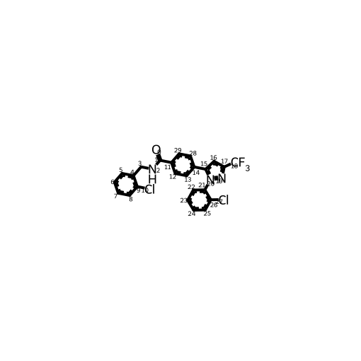 O=C(NCc1ccccc1Cl)c1ccc(-c2cc(C(F)(F)F)nn2-c2ccccc2Cl)cc1